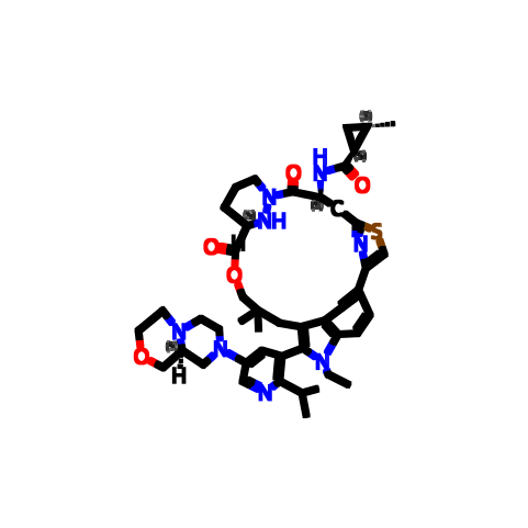 CCn1c(-c2cc(N3CCN4CCOC[C@@H]4C3)cnc2C(C)C)c2c3cc(ccc31)-c1csc(n1)C[C@H](NC(=O)[C@H]1C[C@@H]1C)C(=O)N1CCC[C@H](N1)C(=O)OCC(C)(C)C2